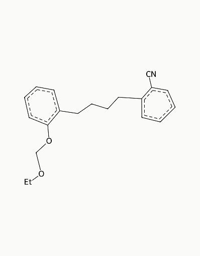 CCOCOc1ccccc1CCCCc1ccccc1C#N